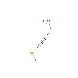 CPC#CCN